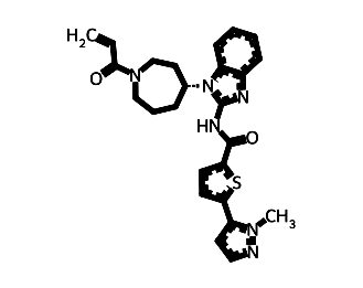 C=CC(=O)N1CCC[C@@H](n2c(NC(=O)c3ccc(-c4ccnn4C)s3)nc3ccccc32)CC1